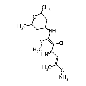 C=N/C(N[C@H]1C[C@@H](C)O[C@@H](C)C1)=C(/Cl)C(=N)/C=C(\C)ON